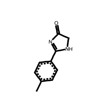 Cc1ccc(C2=NC(=O)CN2)cc1